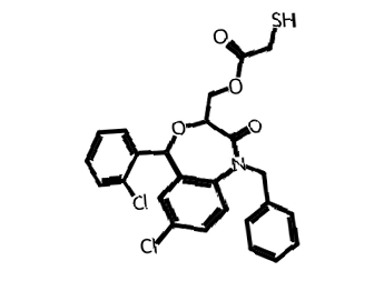 O=C(CS)OCC1OC(c2ccccc2Cl)c2cc(Cl)ccc2N(Cc2ccccc2)C1=O